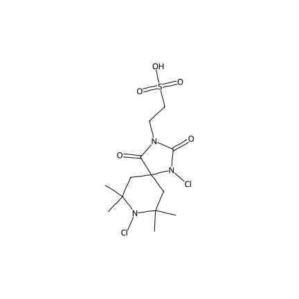 CC1(C)CC2(CC(C)(C)N1Cl)C(=O)N(CCS(=O)(=O)O)C(=O)N2Cl